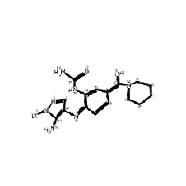 CCn1ncc(N=C2C=CC(=C(O)N3CCCCC3)C=C2NC(N)=O)c1N